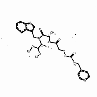 CCOC(OCC)[C@H](C)N(Cc1csc2ccccc12)C(=O)[C@H](C)NC(=O)CONC(=O)NCc1ccncc1